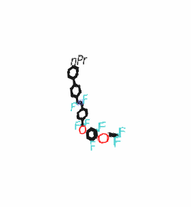 CCCC1CCC(C2CCC(/C(F)=C(\F)C3CCC(C(F)(F)Oc4cc(F)c(OC=C(F)F)c(F)c4)CC3)CC2)CC1